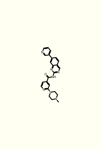 CN1CCN(c2cc(C(=O)Nc3ncc4ccc(-c5cccnc5)cc4n3)ccn2)CC1